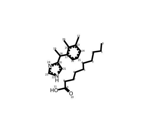 CCCCCCCCCC(=O)O.Cc1cccc(C(C)c2c[nH]cn2)c1C